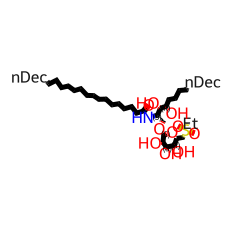 CCCCCCCCCCCCCCCCCCCCCCCCCC(=O)N[C@@H](CO[C@H]1OC(CS(=O)(=O)CC)[C@H](O)[C@H](O)C1O)C(O)[C@H](O)CCCCCCCCCCCCCC